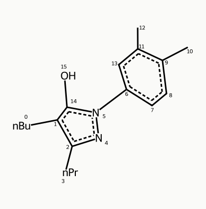 CCCCc1c(CCC)nn(-c2ccc(C)c(C)c2)c1O